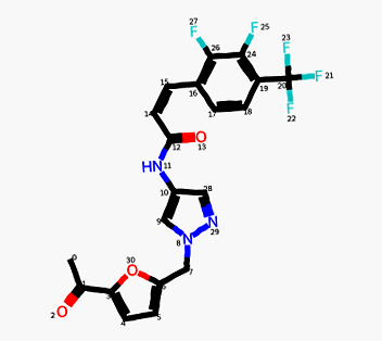 CC(=O)c1ccc(Cn2cc(NC(=O)/C=C\c3ccc(C(F)(F)F)c(F)c3F)cn2)o1